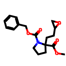 COC(=O)C1(CCC2CO2)CCCN1C(=O)OCc1ccccc1